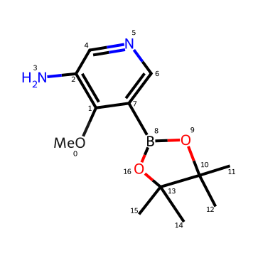 COc1c(N)cncc1B1OC(C)(C)C(C)(C)O1